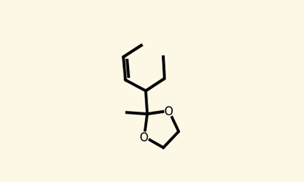 C/C=C\C(CC)C1(C)OCCO1